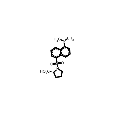 CN(C)c1cccc2c(S(=O)(=O)N3CCC[C@H]3C(=O)O)cccc12